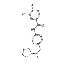 CN(Cc1ccc(NC(=O)c2ccc(Cl)c(Cl)c2)cc1)C1CCSC1